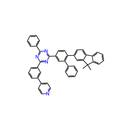 CC1(C)c2ccccc2-c2ccc(-c3ccc(-c4nc(-c5ccccc5)nc(-c5cccc(-c6ccncc6)c5)n4)cc3-c3ccccc3)cc21